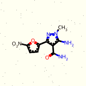 Cn1nc(-c2ccc([N+](=O)[O-])o2)c(C(N)=O)c1N